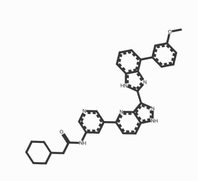 COc1cccc(-c2cccc3[nH]c(-c4n[nH]c5ccc(-c6cncc(NC(=O)CC7CCCCC7)c6)nc45)nc23)c1